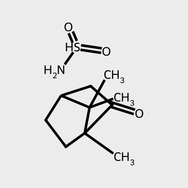 CC12CCC(CC1=O)C2(C)C.N[SH](=O)=O